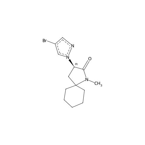 CN1C(=O)[C@H](n2cc(Br)cn2)CC12CCCCC2